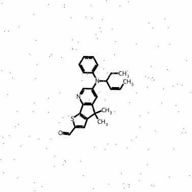 C/C=C\C(CC)N(c1ccccc1)c1cnc2c(c1)C(C)(C)c1cc(C=O)sc1-2